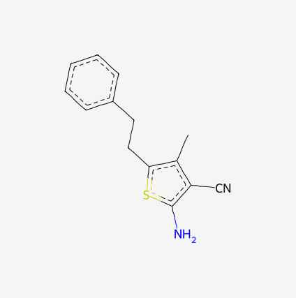 Cc1c(CCc2ccccc2)sc(N)c1C#N